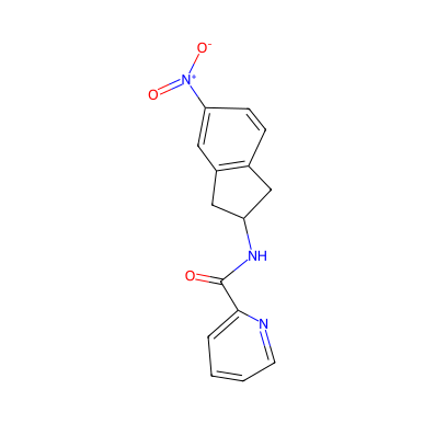 O=C(NC1Cc2ccc([N+](=O)[O-])cc2C1)c1ccccn1